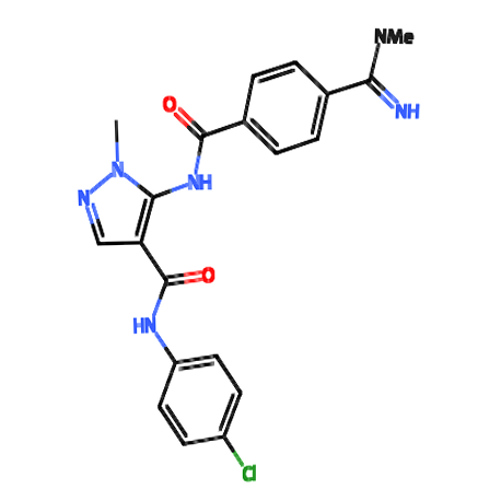 CNC(=N)c1ccc(C(=O)Nc2c(C(=O)Nc3ccc(Cl)cc3)cnn2C)cc1